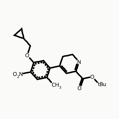 Cc1cc([N+](=O)[O-])c(OCC2CC2)cc1C1=CC(C(=O)OC(C)(C)C)=NCC1